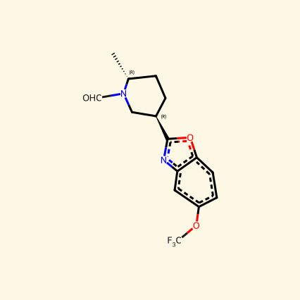 C[C@@H]1CC[C@@H](c2nc3cc(OC(F)(F)F)ccc3o2)CN1C=O